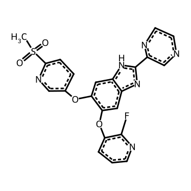 CS(=O)(=O)c1ccc(Oc2cc3[nH]c(-c4cnccn4)nc3cc2Oc2cccnc2F)cn1